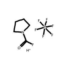 F[P-](F)(F)(F)(F)F.O=C(F)N1CCCC1.[H+]